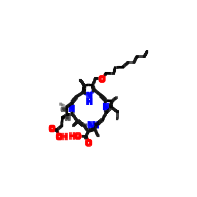 CCCCCCCCCOCc1c(C)c2cc3nc(c(C)c4[nH]c(cc5nc(cc1[nH]2)C(C)=C5CC)c(C)c4C(=O)O)[C@@H](CCC(=O)O)[C@@H]3C